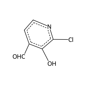 O=Cc1ccnc(Cl)c1O